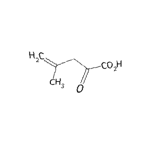 C=C(C)CC(=O)C(=O)O